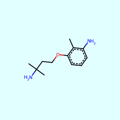 Cc1c(N)cccc1OCCC(C)(C)N